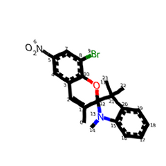 CC1=Cc2cc([N+](=O)[O-])cc(Br)c2OC12N(C)c1ccccc1C2(C)C